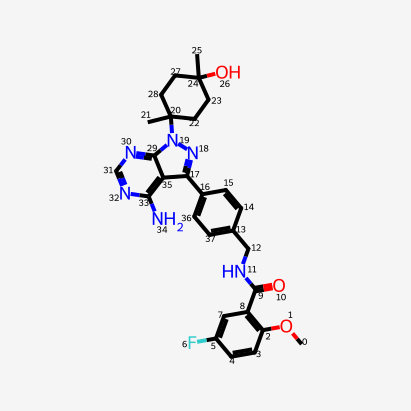 COc1ccc(F)cc1C(=O)NCc1ccc(-c2nn(C3(C)CCC(C)(O)CC3)c3ncnc(N)c23)cc1